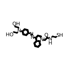 O=C(C[n+]1ccc(/N=N/c2ccc(N(CCO)CCO)cc2)c2ccccc21)NCCS